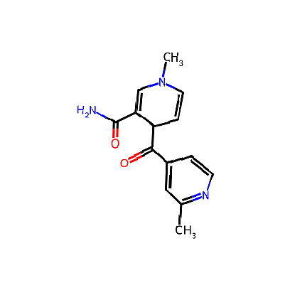 Cc1cc(C(=O)C2C=CN(C)C=C2C(N)=O)ccn1